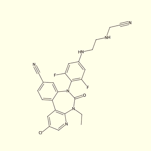 CCN1C(=O)N(c2c(F)cc(NCCNCC#N)cc2F)c2cc(C#N)ccc2-c2cc(Cl)cnc21